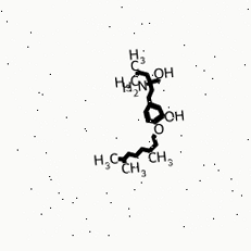 CC(C)CCCC(C)CCOc1ccc(CCC(N)(CO)CC(C)C)cc1O